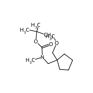 COCC1(CN(C)C(=O)OC(C)(C)C)CCCC1